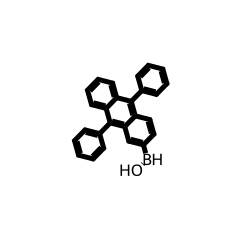 OBc1ccc2c(-c3ccccc3)c3ccccc3c(-c3ccccc3)c2c1